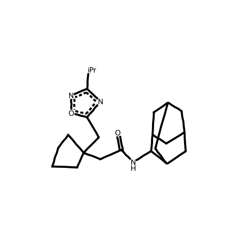 CC(C)c1noc(CC2(CC(=O)NC3C4CC5CC(C4)CC3C5)CCCC2)n1